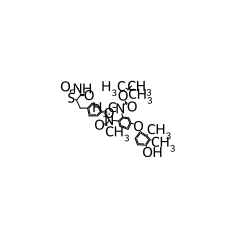 CC(=O)N(Oc1ccc(CC2SC(=O)NC2=O)cc1)c1ccc(Oc2ccc(O)c(C)c2C)cc1N(C)C(=O)OC(C)(C)C